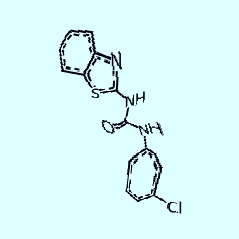 O=C(Nc1cccc(Cl)c1)Nc1nc2ccccc2s1